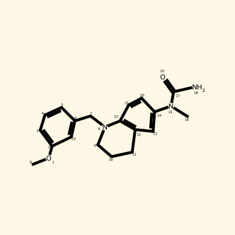 COc1cccc(CN2CCCc3cc(N(C)C(N)=O)ccc32)c1